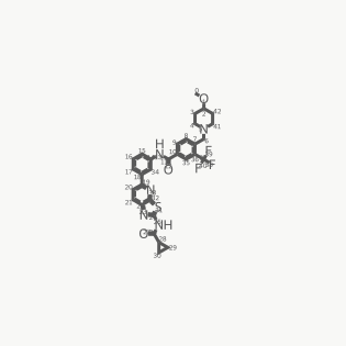 COC1CCN(Cc2ccc(C(=O)Nc3cccc(-c4ccc5nc(NC(=O)C6CC6)sc5n4)c3)cc2C(F)(F)F)CC1